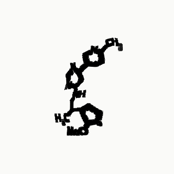 COc1sccc1C(C)CNc1cc(-c2ccc(C)nc2)ncn1